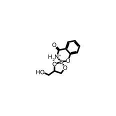 O=C1[NH2+][B-]2(OCC(CO)O2)Oc2ccccc21